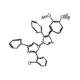 COc1ccc(-c2ncn(-n3cc(-c4ccccc4)nc3-c3ccccc3Cl)c2-c2ccccc2)cc1OC